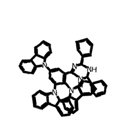 c1ccc(C2N=C(c3cc(-n4c5ccccc5c5ccccc54)cc(-n4c5ccccc5c5ccccc54)c3-n3c4ccccc4c4ccccc43)NC(c3ccccc3)N2)cc1